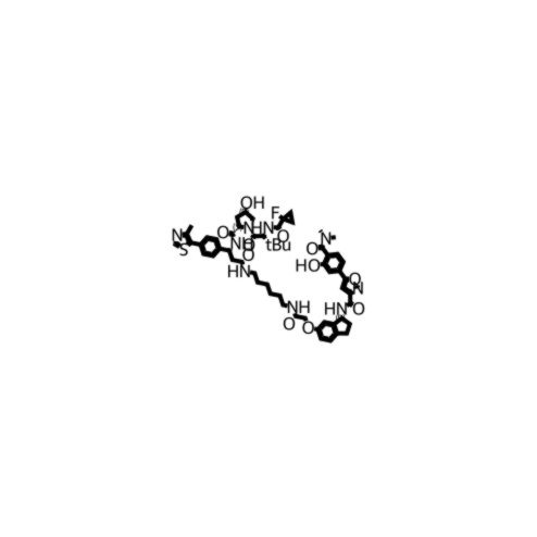 Cc1ncsc1-c1ccc(C(CC(=O)NCCCCCCNC(=O)COc2ccc3c(c2)[C@H](NC(=O)c2cc(-c4ccc(C(=O)N(C)C)c(O)c4)on2)CC3)NC(=O)[C@@H]2C[C@@H](O)CN2C(=O)C(NC(=O)C2(F)CC2)C(C)(C)C)cc1